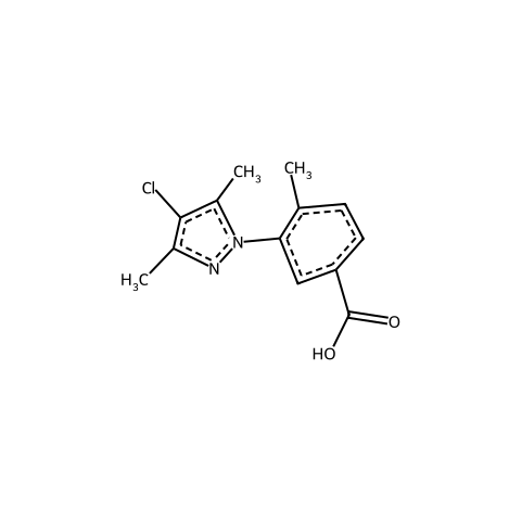 Cc1ccc(C(=O)O)cc1-n1nc(C)c(Cl)c1C